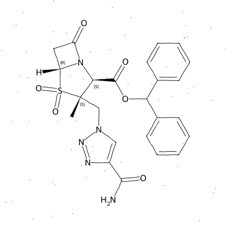 C[C@]1(Cn2cc(C(N)=O)nn2)[C@H](C(=O)OC(c2ccccc2)c2ccccc2)N2C(=O)C[C@H]2S1(=O)=O